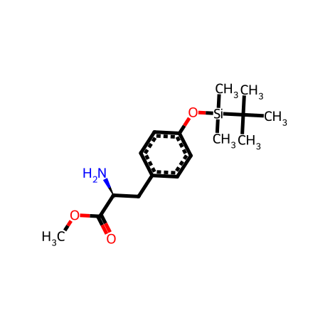 COC(=O)[C@@H](N)Cc1ccc(O[Si](C)(C)C(C)(C)C)cc1